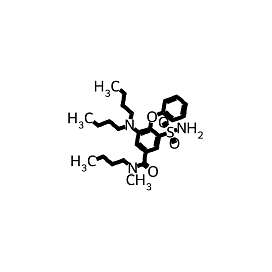 CCCCN(C)C(=O)c1cc(N(CCCC)CCCC)c(Oc2ccccc2)c(S(N)(=O)=O)c1